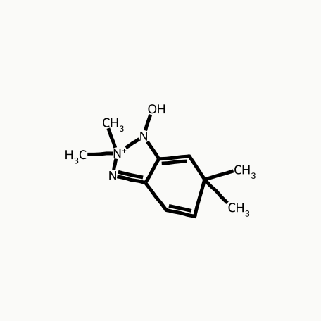 CC1(C)C=CC2=N[N+](C)(C)N(O)C2=C1